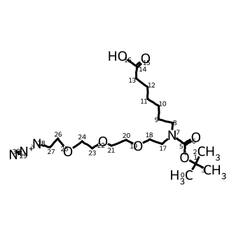 CC(C)(C)OC(=O)N(CCCCCCC(=O)O)CCOCCOCCOCCN=[N+]=[N-]